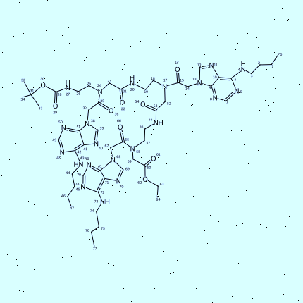 CCCCNc1ncnc2c1ncn2CC(=O)N(CCNC(=O)CN(CCNC(=O)OC(C)(C)C)C(=O)Cn1cnc2c(NCCCC)ncnc21)CC(=O)NCCN(CC(=O)OCC)C(=O)Cn1cnc2c(NCCCC)ncnc21